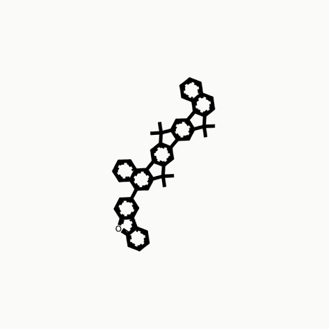 CC1(C)c2cc3c(cc2-c2cc4c(cc21)-c1c(cc(-c2ccc5oc6ccccc6c5c2)c2ccccc12)C4(C)C)C(C)(C)c1ccc2ccccc2c1-3